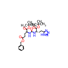 CC(C)(C)OC(=O)[C@H](CCC(=O)OCc1ccccc1)NC(=O)N[C@@H](CCc1nnn[nH]1)C(=O)OC(C)(C)C